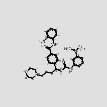 CN(C)c1cccc(NC(=O)NC(CCCN2CCOCC2)c2ccc(C(=O)Nc3ccccc3N)cc2)c1